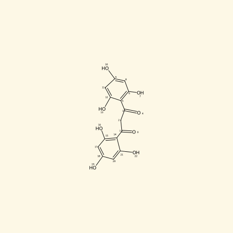 O=C(CC(=O)c1c(O)cc(O)cc1O)c1c(O)cc(O)cc1O